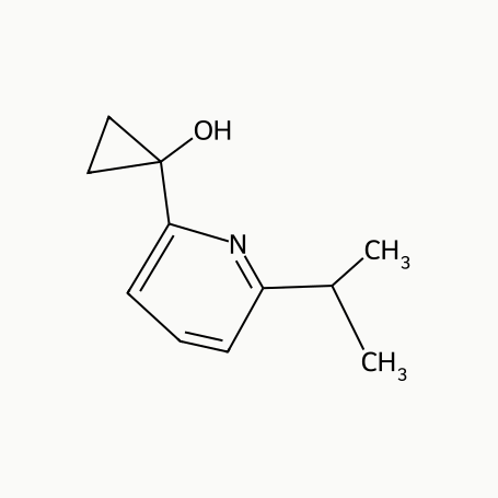 CC(C)c1cccc(C2(O)CC2)n1